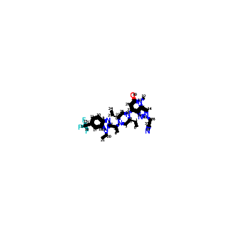 CC[C@H]1CN(C(C)c2nc3ccc(C(F)(F)F)cc3n2CC)[C@H](CC)CN1c1cc(=O)n(C)c2cn(CC#N)nc12